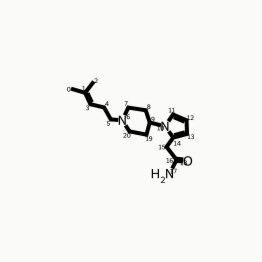 CC(C)=CCCN1CCC(n2cccc2CC(N)=O)CC1